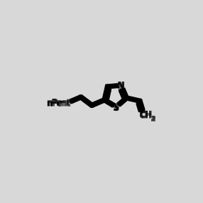 C=Cc1ncc(CCCCCCC)s1